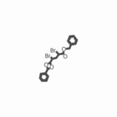 O=C(OCc1ccccc1)C(Br)CC(Br)C1OC(c2ccccc2)O1